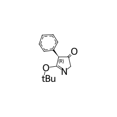 CC(C)(C)OC1=NCC(=O)[C@@H]1c1ccccc1